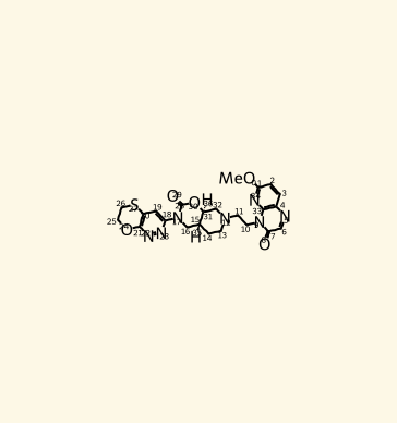 COc1ccc2ncc(=O)n(CCN3CC[C@@H]4CN(c5cc6c(nn5)OCCS6)C(=O)O[C@H]4C3)c2n1